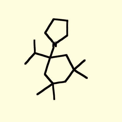 CC(C)C1(N2CCCC2)CC(C)(C)CC(C)(C)C1